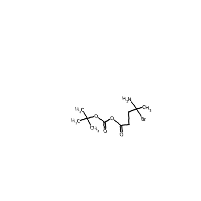 CC(N)(Br)CCC(=O)OC(=O)OC(C)(C)C